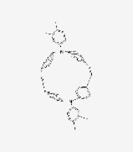 Cc1ccc(N2c3ccc(cc3)/C=C\c3ccc(cc3)N(c3ccc(C)c(C)c3)c3ccc(cc3)/C=C\c3ccc2cc3)cc1C